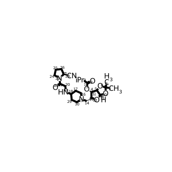 CC(C)C(=O)O[C@@H]1C2OC(C)(C)O[C@H]2O[C@@H]1CN1CCC(NCC(=O)N2CCC[C@H]2C#N)CC1